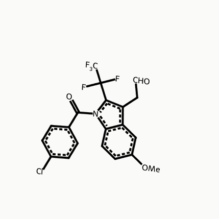 COc1ccc2c(c1)c(CC=O)c(C(F)(F)C(F)(F)F)n2C(=O)c1ccc(Cl)cc1